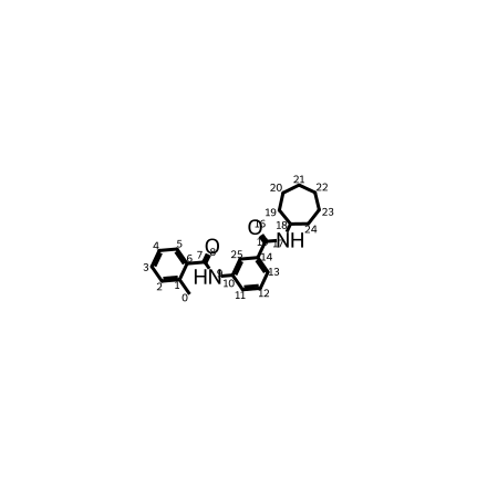 Cc1ccccc1C(=O)Nc1cccc(C(=O)NC2CCCCCC2)c1